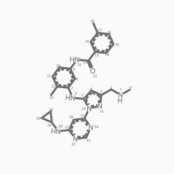 CNCc1cc(Nc2cc(NC(=O)c3cccc(C)c3)ccc2C)n(-c2cc(NC3CC3)ncn2)n1